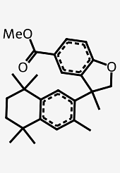 COC(=O)c1ccc2c(c1)C(C)(c1cc3c(cc1C)C(C)(C)CCC3(C)C)CO2